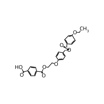 CCOc1ccc(S(=O)(=O)c2ccc(OCCOC(=O)c3ccc(C(=O)O)cc3)cc2)cc1